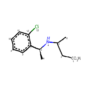 CC(CC(=O)O)N[C@@H](C)c1ccccc1Cl